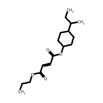 CCCOC(=O)/C=C/C(=O)OC1CCC(C(C)CC)CC1